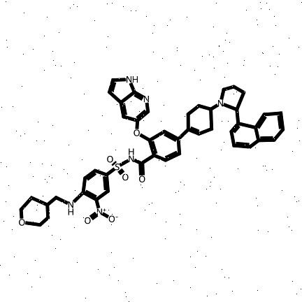 O=C(NS(=O)(=O)c1ccc(NCC2CCOCC2)c([N+](=O)[O-])c1)c1ccc(C2=CCC(N3CCCC3c3cccc4ccccc34)CC2)cc1Oc1cnc2[nH]ccc2c1